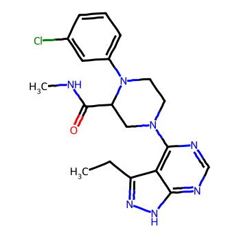 CCc1n[nH]c2ncnc(N3CCN(c4cccc(Cl)c4)C(C(=O)NC)C3)c12